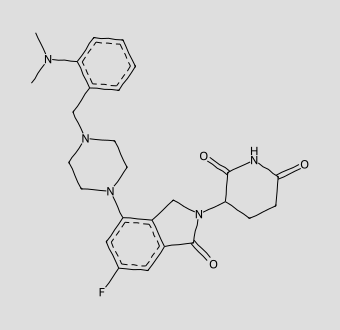 CN(C)c1ccccc1CN1CCN(c2cc(F)cc3c2CN(C2CCC(=O)NC2=O)C3=O)CC1